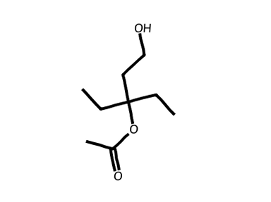 CCC(CC)(CCO)OC(C)=O